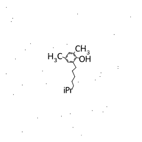 Cc1cc(C)c(O)c(CCCCCC(C)C)c1